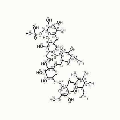 CCC1O[C@@H](OC2[C@@H](OCC3O[C@H](OCC4O[C@@H](OC)C(O)[C@@H](O[C@@H]5OC(CO)[C@@H](O)[C@H](O)C5O[C@H]5OC(COP(=O)(O)O)[C@@H](O)[C@H](O)C5O)[C@@H]4O)C(O)[C@@H](O)[C@@H]3O)OC(CO)[C@@H](O)[C@@H]2O)C(O)[C@@H](O)[C@@H]1O